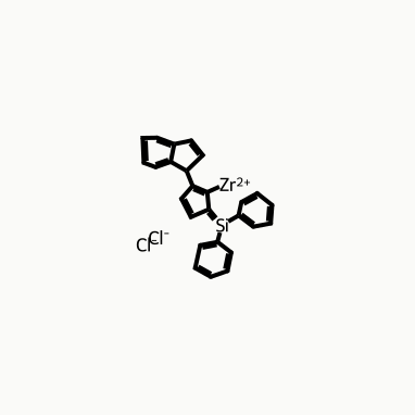 [Cl-].[Cl-].[Zr+2][C]1=C(C2C=Cc3ccccc32)C=CC1=[Si](c1ccccc1)c1ccccc1